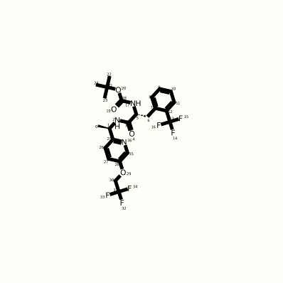 C[C@@H](NC(=O)[C@@H](Cc1ccccc1C(F)(F)F)NC(=O)OC(C)(C)C)c1ccc(OCC(F)(F)F)cn1